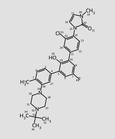 Cc1ccc(-c2cc(F)cc(-c3ccc(-n4ccn(C)c4=O)c(Cl)c3)c2O)cc1N1CCN(C(C)(C)C)CC1